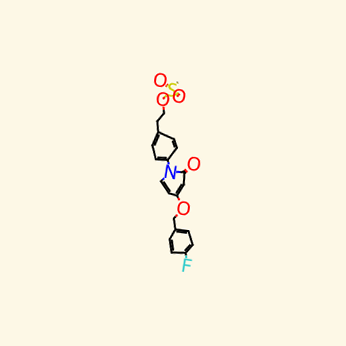 CS(=O)(=O)OCCc1ccc(-n2ccc(OCc3ccc(F)cc3)cc2=O)cc1